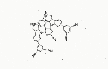 N#Cc1cc(C#N)cc(-c2ccc3c4ccccc4n(-c4cc(C#N)cc(-n5c6ccccc6c6ccc(-c7cc(C#N)cc(C#N)c7)cc65)c4-c4cc(C#N)cc(C#N)c4)c3c2)c1